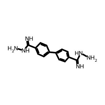 N=C(NN)c1ccc(-c2ccc(C(=N)NN)cc2)cc1